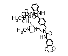 CN1CCN(CCN(Cc2ccc(C(=O)Nc3ccccc3NC(=O)OC(C)(C)C)cc2)C(=O)Nc2ccc3c(c2)OCCO3)CC1